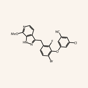 COc1nccc2c(Cc3ccc(Br)c(Oc4cc(Cl)cc(C#N)c4)c3F)n[nH]c12